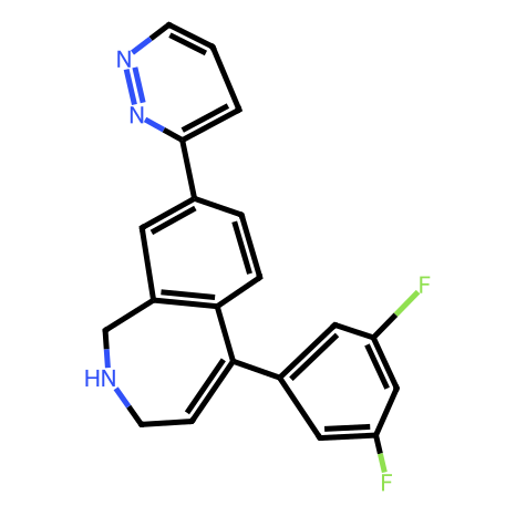 Fc1cc(F)cc(C2=CCNCc3cc(-c4cccnn4)ccc32)c1